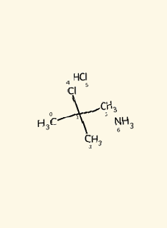 CC(C)(C)Cl.Cl.N